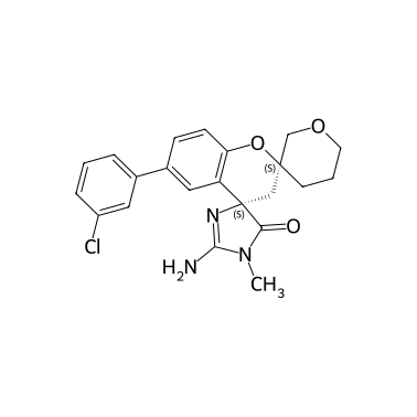 CN1C(=O)[C@@]2(C[C@]3(CCCOC3)Oc3ccc(-c4cccc(Cl)c4)cc32)N=C1N